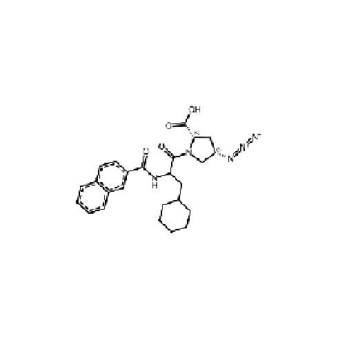 [N-]=[N+]=N[C@H]1C[C@@H](C(=O)O)N(C(=O)C(CC2CCCCC2)NC(=O)c2ccc3ccccc3c2)C1